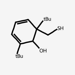 CC(C)(C)C1=CC=CC(CS)(C(C)(C)C)C1O